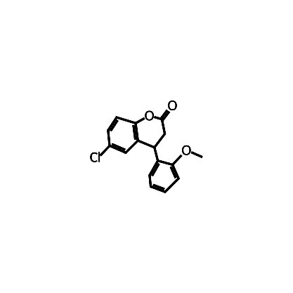 COc1ccccc1C1CC(=O)Oc2ccc(Cl)cc21